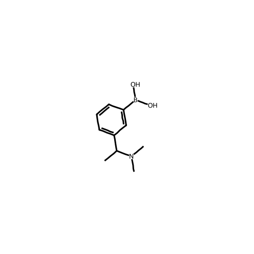 CC(c1cccc(B(O)O)c1)N(C)C